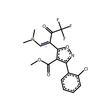 COC(=O)c1c(-c2ccccc2Cl)noc1/C(=C/N(C)C)C(=O)C(F)(F)F